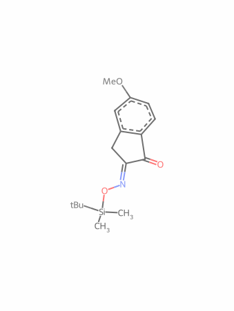 COc1ccc2c(c1)CC(=NO[Si](C)(C)C(C)(C)C)C2=O